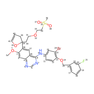 COc1cc2ncnc(Nc3ccc(OCc4cccc(F)c4)c(Br)c3)c2cc1C1(CCOCCS(C)(=O)=O)CC=CO1